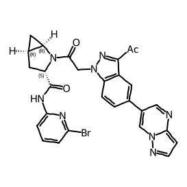 CC(=O)c1nn(CC(=O)N2[C@@H]3C[C@@H]3C[C@H]2C(=O)Nc2cccc(Br)n2)c2ccc(-c3cnc4ccnn4c3)cc12